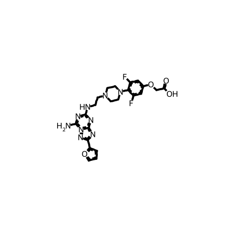 Nc1nc(NCCN2CCN(c3c(F)cc(OCC(=O)O)cc3F)CC2)nc2nc(-c3ccco3)nn12